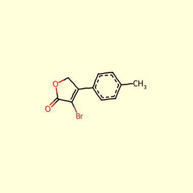 Cc1ccc(C2=C(Br)C(=O)OC2)cc1